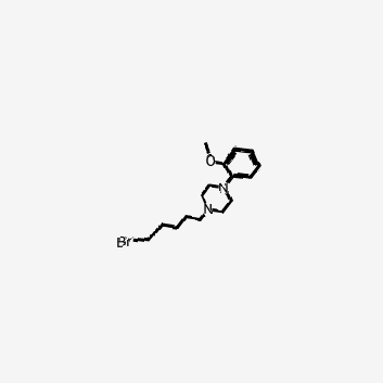 COc1ccccc1N1CCN(CCCCCBr)CC1